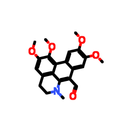 COc1cc2c(C=O)c3c4c(cc(OC)c(OC)c4c2cc1OC)CCN3C